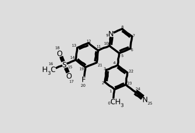 Cc1ccc(-c2cccnc2-c2ccc(S(C)(=O)=O)c(F)c2)cc1C#N